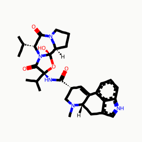 CC(C)[C@@H]1C(=O)N2CCC[C@H]2[C@]2(O)O[C@](NC(=O)[C@@H]3C=C4c5cccc6[nH]cc(c56)C[C@@H]4N(C)C3)(C(C)C)C(=O)N12